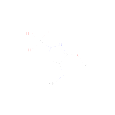 CC(C)Oc1nn(C(O)(O)O)cc1NC=O